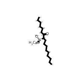 CCCCCCCCCC(C(=O)CCCCCC)[N+](=O)[O-].[CaH2]